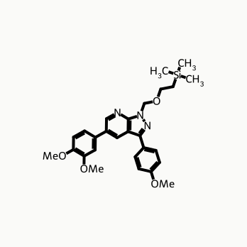 COc1ccc(-c2nn(COCC[Si](C)(C)C)c3ncc(-c4ccc(OC)c(OC)c4)cc23)cc1